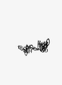 CC(C)(C)OC(=O)NC1CCCN(CCOCCOCCNc2cccc3c2C(=O)N(C2CCC(=O)NC2=O)C3=O)C1